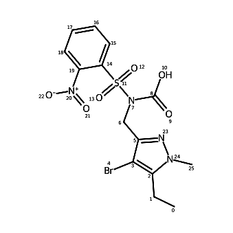 CCc1c(Br)c(CN(C(=O)O)S(=O)(=O)c2ccccc2[N+](=O)[O-])nn1C